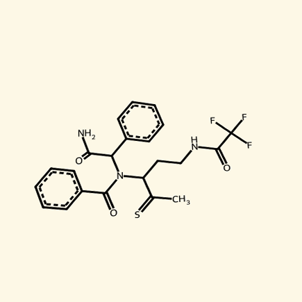 CC(=S)C(CCNC(=O)C(F)(F)F)N(C(=O)c1ccccc1)C(C(N)=O)c1ccccc1